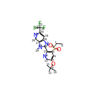 CCS(=O)(=O)c1cc(OC(C)(C)C)cnc1-c1nc2cc(C(F)(F)F)ncc2n1C